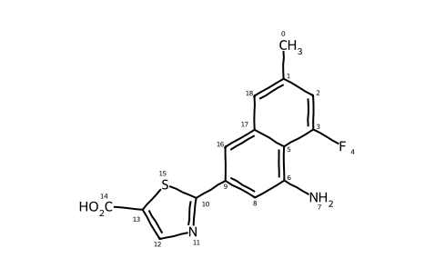 Cc1cc(F)c2c(N)cc(-c3ncc(C(=O)O)s3)cc2c1